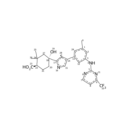 Cc1cc(Nc2nccc(C(F)(F)F)n2)cc(-c2cnc([C@@]3(O)CC[C@@H](C(=O)O)C(C)(C)C3)s2)c1